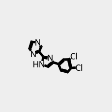 Clc1ccc(-c2c[nH]c(-c3cnccn3)n2)cc1Cl